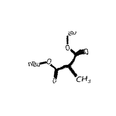 CCCCOC(=O)[C](C)C(=O)OC(C)CC